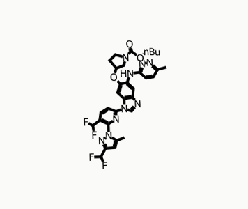 CCCCOC(=O)N1CCC(Oc2cc3c(cc2Nc2ccc(C)nn2)ncn3-c2ccc(C(F)F)c(-n3nc(C(F)F)cc3C)n2)C1